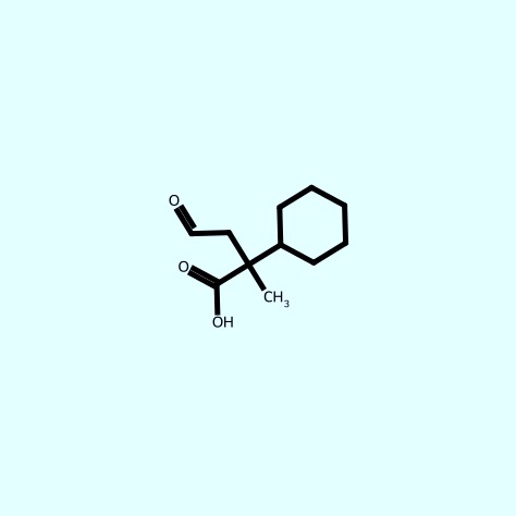 CC(CC=O)(C(=O)O)C1CCCCC1